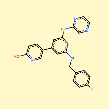 Oc1ccc(-c2cc(NCc3ccc(F)cc3)nc(Nc3cnccn3)c2)cn1